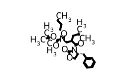 CCCCON(CC(CC(C)C)C(=O)N1C(=O)OC[C@H]1Cc1ccccc1)C(=O)OC(C)(C)C